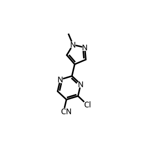 Cn1cc(-c2ncc(C#N)c(Cl)n2)cn1